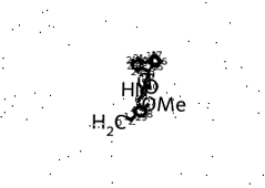 C=CCC1=CC(CCNC(=O)OCC2c3ccccc3-c3ccccc32)=C(OC)CC1